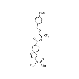 COc1ccc(COC[C@@H](OC(=O)N2CCC3(CC2)C[C@@H](N(C)C(=O)C(C)(C)C)CO3)C(F)(F)F)cc1